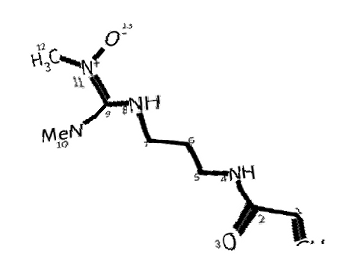 C=CC(=O)NCCCN/C(NC)=[N+](/C)[O-]